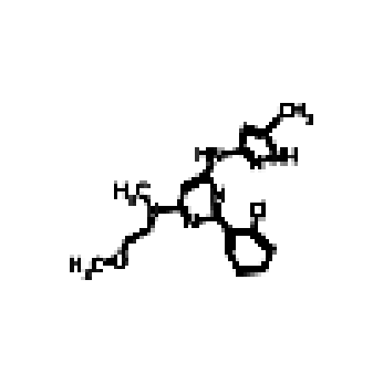 COCCN(C)c1cc(Nc2cc(C)[nH]n2)nc(-c2ccccc2Cl)n1